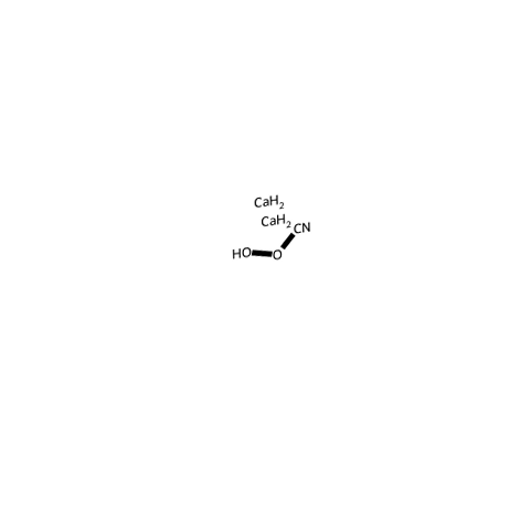 N#COO.[CaH2].[CaH2]